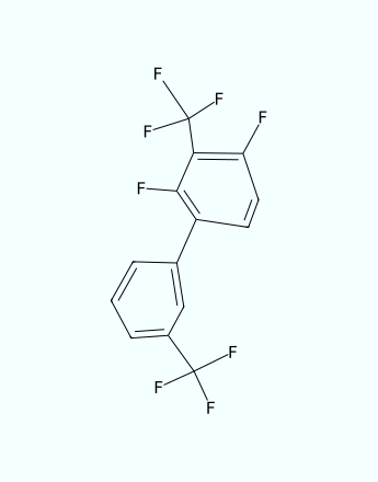 Fc1ccc(-c2cccc(C(F)(F)F)c2)c(F)c1C(F)(F)F